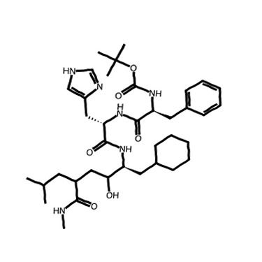 CNC(=O)C(CC(C)C)CC(O)[C@H](CC1CCCCC1)NC(=O)[C@H](Cc1c[nH]cn1)NC(=O)[C@H](Cc1ccccc1)NC(=O)OC(C)(C)C